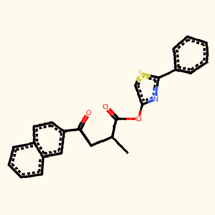 CC(CC(=O)c1ccc2ccccc2c1)C(=O)Oc1csc(-c2c[c]ccc2)n1